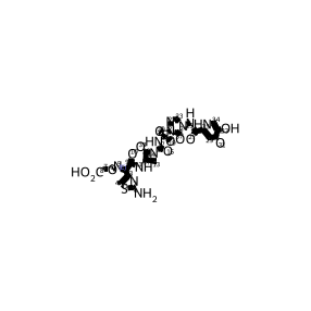 Nc1nc(/C(=N\OCC(=O)O)C(=O)N[C@H]2CN(C(=O)NS(=O)(=O)n3ncn(NC(=O)c4cc(=O)c(O)c[nH]4)c3=O)C2=O)cs1